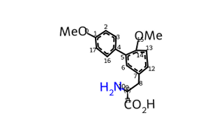 COc1ccc(-c2cc(C[C@H](N)C(=O)O)ccc2OC)cc1